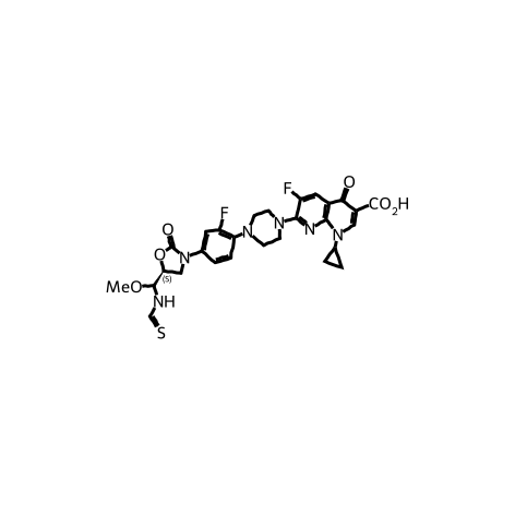 COC(NC=S)[C@@H]1CN(c2ccc(N3CCN(c4nc5c(cc4F)c(=O)c(C(=O)O)cn5C4CC4)CC3)c(F)c2)C(=O)O1